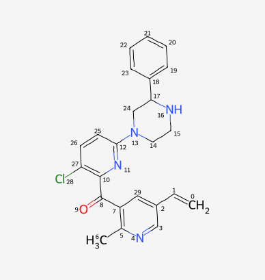 C=Cc1cnc(C)c(C(=O)c2nc(N3CCNC(c4ccccc4)C3)ccc2Cl)c1